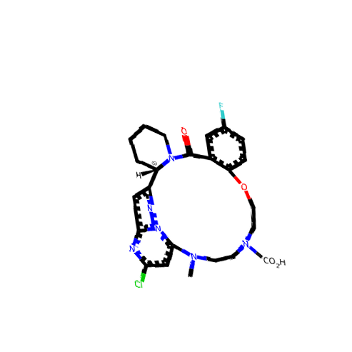 CN1CCN(C(=O)O)CCOc2ccc(F)cc2C(=O)N2CCCC[C@H]2c2cc3nc(Cl)cc1n3n2